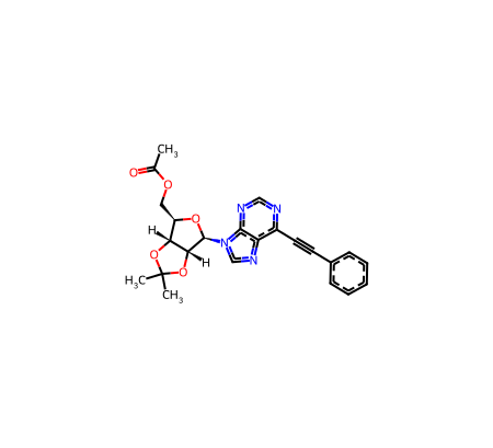 CC(=O)OC[C@H]1O[C@@H](n2cnc3c(C#Cc4ccccc4)ncnc32)[C@@H]2OC(C)(C)O[C@@H]21